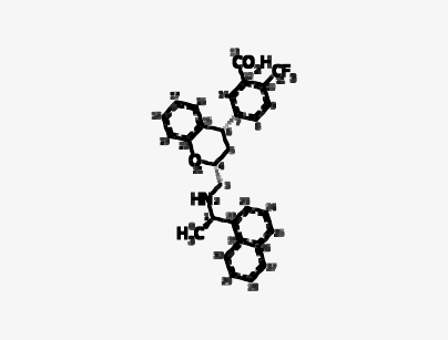 C[C@@H](NC[C@H]1C[C@@H](c2ccc(C(F)(F)F)c(C(=O)O)c2)c2ccccc2O1)c1cccc2ccccc12